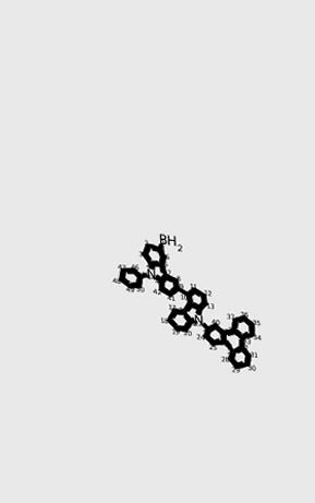 Bc1ccc2c(c1)c1cc(-c3cccc4c3c3ccccc3n4-c3ccc4c5ccccc5c5ccccc5c4c3)ccc1n2-c1ccccc1